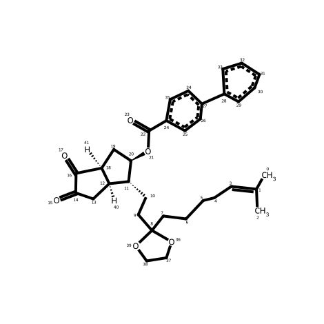 CC(C)=CCCCCC1(CC[C@@H]2[C@H]3CC(=O)C(=O)[C@H]3C[C@H]2OC(=O)c2ccc(-c3ccccc3)cc2)OCCO1